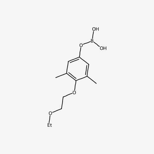 CCOCCOc1c(C)cc(OB(O)O)cc1C